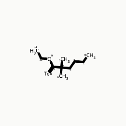 CCCCC(C)(C)C(=[Te])OCC